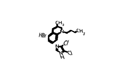 Br.CCCCN1CC(C)=Cc2ccccc21.Clc1nc[nH]c1Cl